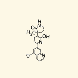 C[C@]1(c2ccc(-c3cc(C4CC4)c4cccnc4c3)nc2O)CCCNC1=O